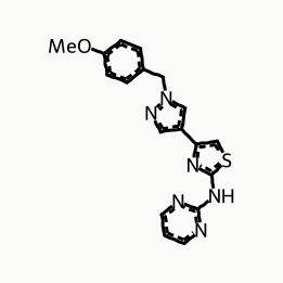 COc1ccc(Cn2cc(-c3csc(Nc4ncccn4)n3)cn2)cc1